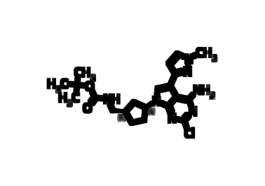 Cn1ccc(-c2cn([C@H]3CC[C@@H](CNC(=O)OC(C)(C)C)C3)c3nc(Cl)nc(N)c23)n1